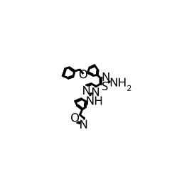 Nc1nc(-c2cccc(OCc3ccccc3)c2)c(-c2ccnc(Nc3cccc(C4CN=CO4)c3)n2)s1